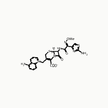 CON=C(C(=O)NC1C(=O)N2C(C(=O)[O-])=C(C[n+]3cccc4c(N)cccc43)CS[C@@H]12)c1csc(N)n1